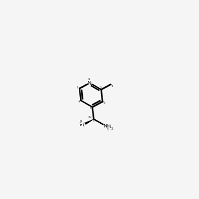 CC[C@H](N)c1ccnc(C)c1